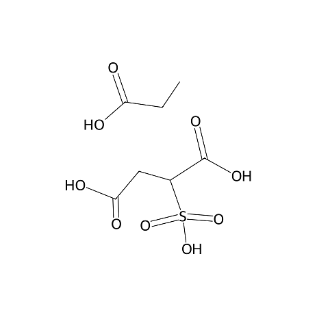 CCC(=O)O.O=C(O)CC(C(=O)O)S(=O)(=O)O